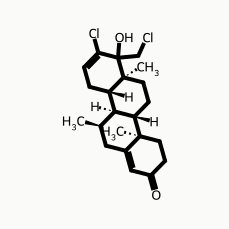 C[C@@H]1CC2=CC(=O)CC[C@]2(C)[C@H]2CC[C@@]3(C)[C@@H](CC=C(Cl)C3(O)CCl)[C@H]12